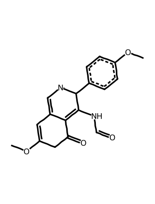 COC1=CC2=C[N]C(c3ccc(OC)cc3)C(NC=O)=C2C(=O)C1